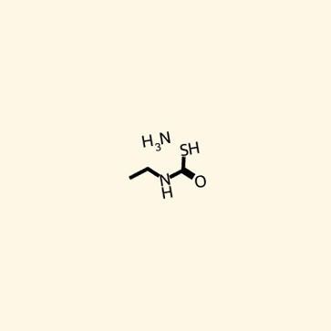 CCNC(=O)S.N